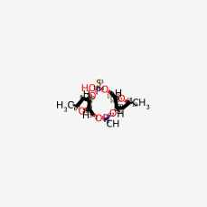 C#P1OC[C@H]2O[C@@H](C)C[C@@H]2OP(O)(=S)OC[C@H]2O[C@@H](C)C[C@@H]2O1